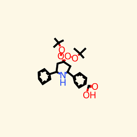 CC(C)(C)OOC1(OOC(C)(C)C)CC(c2ccccc2)NC(c2ccccc2)C1.O=CO